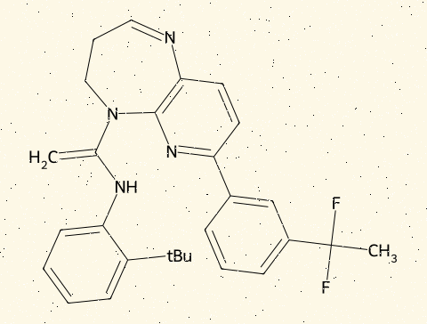 C=C(Nc1ccccc1C(C)(C)C)N1CCC=Nc2ccc(-c3cccc(C(C)(F)F)c3)nc21